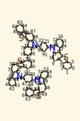 c1ccc2c(c1)sc1c2ccc2c1c1ccccc1n2-c1ccc(-n2c3cc(-c4cccc5c4sc4ccc6c7ccccc7n(-c7ccc(-n8c9ccccc9c9ccc%10sc%11ccccc%11c%10c98)cc7)c6c45)ccc3c3c4sc5ccccc5c4ccc32)cc1